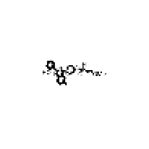 COCCNC(=O)OC1CCN(c2nc(-c3ccccc3O)nc3ccc(F)cc23)CC1